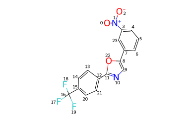 O=[N+]([O-])c1cccc(-c2[c]nc(-c3ccc(C(F)(F)F)cc3)o2)c1